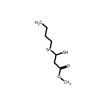 CCC[CH2][Sn][CH](S)CC(=O)OC